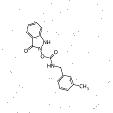 Cc1cccc(CNC(=O)On2[nH]c3ccccc3c2=O)c1